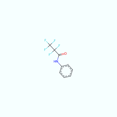 O=C(Nc1[c]cccc1)C(F)(F)C(F)(F)F